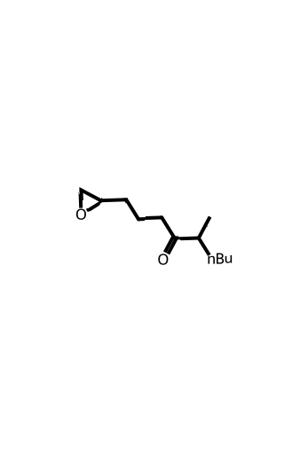 CCCCC(C)C(=O)CCCC1CO1